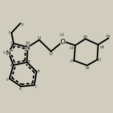 CCc1nc2ccccc2n1CCOC1CCCC(C)C1